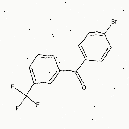 O=C(c1ccc(Br)cc1)c1cccc(C(F)(F)F)c1